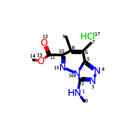 CNc1nnc2c(C)c(C)c(C(=O)OC)nn12.Cl